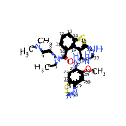 CCN(CCN(C)C)C(=O)c1cccc2sc3c(c12)C(Nc1cc2snnc2cc1OC)NCN3